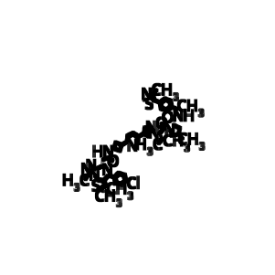 Cc1ncsc1-c1ccc(C(C)NC(=O)[C@@H]2C[C@@H](C)CN2C(=O)[C@@H](C(C)C)n2cc(-c3ccc(C4CC(NC(=O)C[C@@H]5N=C(c6ccc(Cl)cc6)c6c(sc(C)c6C)-n6c(C)nnc65)C4)nc3)cn2)cc1